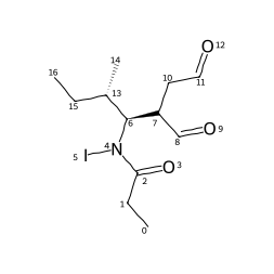 CCC(=O)N(I)[C@H](C(C=O)CC=O)[C@@H](C)CC